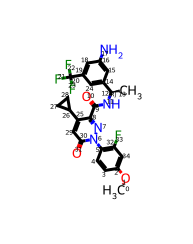 COc1ccc(-n2nc(C(=O)N[C@H](C)c3cc(N)cc(C(F)(F)F)c3)c(C3CC3)cc2=O)c(F)c1